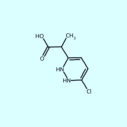 CC(C(=O)O)C1=CC=C(Cl)NN1